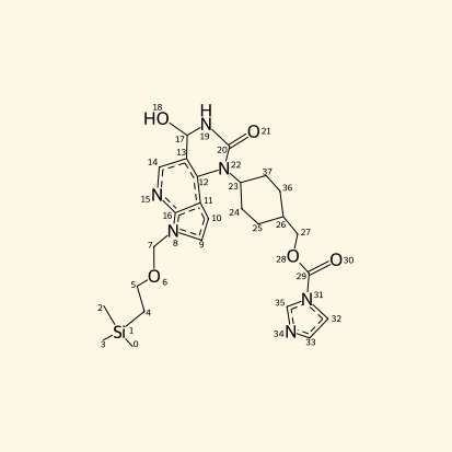 C[Si](C)(C)CCOCn1ccc2c3c(cnc21)C(O)NC(=O)N3C1CCC(COC(=O)n2ccnc2)CC1